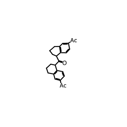 CC(=O)c1ccc2c(c1)CCCC2C(=O)C1CCCc2cc(C(C)=O)ccc21